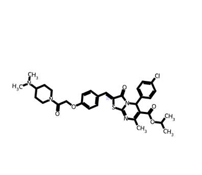 CC1=C(C(=O)OC(C)C)C(c2ccc(Cl)cc2)n2c(s/c(=C\c3ccc(OCC(=O)N4CCC(N(C)C)CC4)cc3)c2=O)=N1